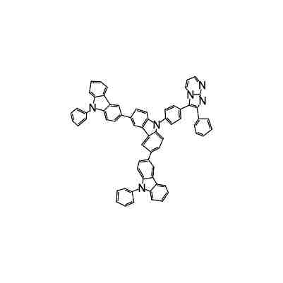 c1ccc(-c2nc3ncccn3c2-c2ccc(-n3c4ccc(-c5ccc6c(c5)c5ccccc5n6-c5ccccc5)cc4c4cc(-c5ccc6c(c5)c5ccccc5n6-c5ccccc5)ccc43)cc2)cc1